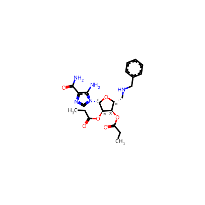 CCC(=O)O[C@@H]1[C@H](OC(=O)CC)[C@@H](CNCc2ccccc2)O[C@H]1n1cnc(C(N)=O)c1N